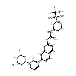 C[C@@H]1CN(c2cccc(-c3ccc4cnc(CC(=O)N[C@@H]5CCCN(S(=O)(=O)C(F)(F)F)C5)cc4n3)n2)C[C@H](C)O1